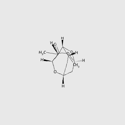 C[C@@H]1[C@@H]2O[C@H]3C[C@H](O[C@@H]1C(=O)O3)[C@H]2C